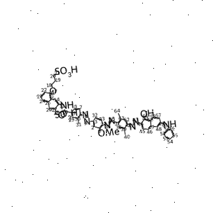 COc1cc(N=Nc2ccc(C(=O)Nc3cc4c(OCCCS(=O)(=O)O)cccc4cc3S(=O)(=O)O)cc2C)ccc1N=Nc1cc(C)c(N=Nc2ccc3cc(Nc4ccccc4)ccc3c2O)cc1C